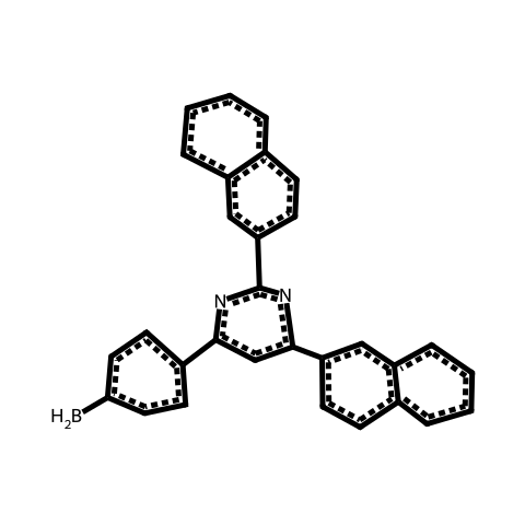 Bc1ccc(-c2cc(-c3ccc4ccccc4c3)nc(-c3ccc4ccccc4c3)n2)cc1